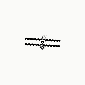 CCCCCCCCCCCCS(CCCCCCCCCCCC)=P([O-])([O-])[S-].CCCCCCCCCCCCS(CCCCCCCCCCCC)=P([O-])([O-])[S-].[Zn+2].[Zn+2].[Zn+2]